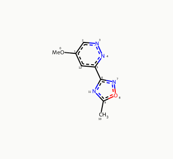 COc1cnnc(-c2noc(C)n2)c1